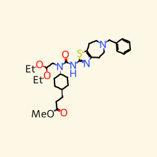 CCOC(CN(C(=O)Nc1nc2c(s1)CCN(Cc1ccccc1)CC2)[C@H]1CC[C@H](CCC(=O)OC)CC1)OCC